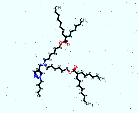 CCCCCCCCC(CCCCCC)C(=O)OCCCCCCN(CCCCCCOC(=O)C(CCCCCC)CCCCCCCC)Cc1cnn(CCCCF)c1